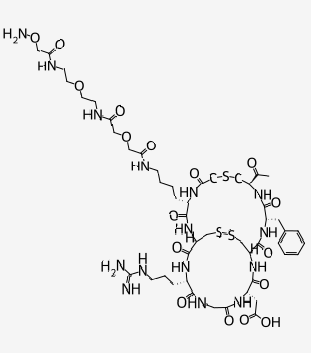 CC(=O)[C@@H]1CSCC(=O)N[C@@H](CCCCNC(=O)COCC(=O)NCCOCCNC(=O)CON)C(=O)N[C@H]2CSSC[C@H](NC(=O)[C@H](CC(=O)O)NC(=O)CNC(=O)[C@H](CCCNC(=N)N)NC2=O)C(=O)N[C@@H](Cc2ccccc2)C(=O)N1